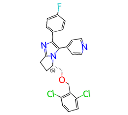 Fc1ccc(-c2nc3n(c2-c2ccncc2)[C@H](COCc2c(Cl)cccc2Cl)CC3)cc1